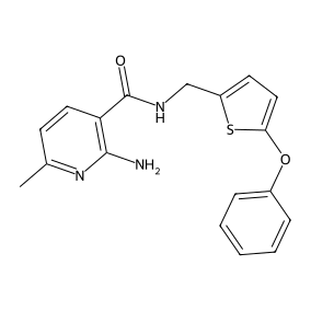 Cc1ccc(C(=O)NCc2ccc(Oc3ccccc3)s2)c(N)n1